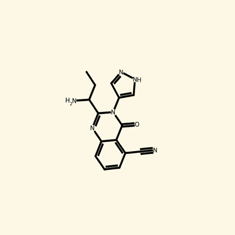 CCC(N)c1nc2cccc(C#N)c2c(=O)n1-c1cn[nH]c1